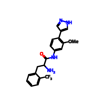 COc1cc(NC(=O)C(N)Cc2ccccc2C(F)(F)F)ccc1-c1cn[nH]c1